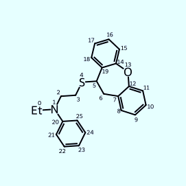 CCN(CCSC1Cc2ccccc2Oc2ccccc21)c1ccccc1